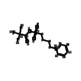 O=C(OS(=O)(=O)CCCC[n+]1ccccc1)C(F)(F)F